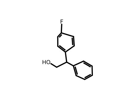 OCC(c1ccccc1)c1ccc(F)cc1